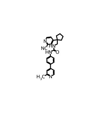 Cc1cc(-c2ccc(NC(=O)NCC3(c4ccnc(C#N)c4)CCCC3)cc2)ccn1